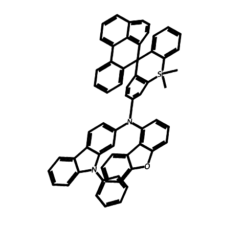 C[Si]1(C)c2ccccc2C2(c3ccccc3-c3cccc4cccc2c34)c2ccc(N(c3ccc4c5ccccc5n(-c5ccccc5)c4c3)c3cccc4oc5ccccc5c34)cc21